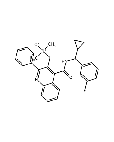 C[N+](C)([O-])Cc1c(-c2ccccc2)nc2ccccc2c1C(=O)NC(c1cccc(F)c1)C1CC1